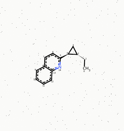 CC[C@H]1C[C@@H]1c1ccc2ccccc2n1